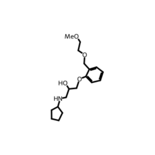 COCCOCc1ccccc1OCC(O)CNC1CCCC1